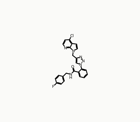 O=C(NCc1ccc(F)cc1)c1ccccc1-n1cc(Cn2ccc3c(Cl)ccnc32)nn1